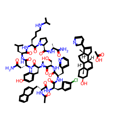 CC(=O)N[C@H](Cc1ccc2ccccc2c1)C(=O)N[C@H](Cc1ccc(Cl)cc1)C(=O)N[C@H](Cc1cccnc1)C(=O)N[C@@H](CO)C(=O)N(C)[C@@H](Cc1ccc(O)cc1)C(=O)N[C@H](CC(N)=O)C(=O)N[C@@H](CC(C)C)C(=O)N[C@@H](CCCCNC(C)C)C(=O)N1CCC[C@H]1C(=O)N[C@H](C)C(N)=O.CC(=O)O.C[C@]12CC[C@H](O)CC1=CC[C@@H]1[C@@H]2CC[C@]2(C)C(c3cccnc3)=CC[C@@H]12